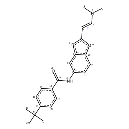 CN(C)/C=C/c1nc2cc(NC(=O)c3ccc(C(C)(C)C)cc3)ccc2o1